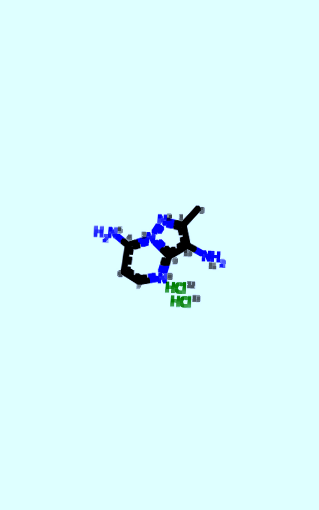 Cc1nn2c(N)ccnc2c1N.Cl.Cl